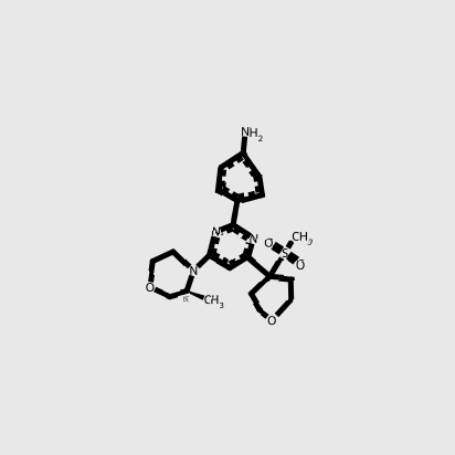 C[C@H]1COCCN1c1cc(C2(S(C)(=O)=O)CCOCC2)nc(-c2ccc(N)cc2)n1